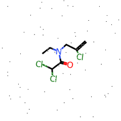 C=C(Cl)CN(CC)C(=O)C(Cl)Cl